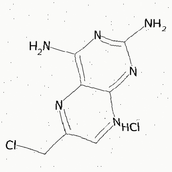 Cl.Nc1nc(N)c2nc(CCl)cnc2n1